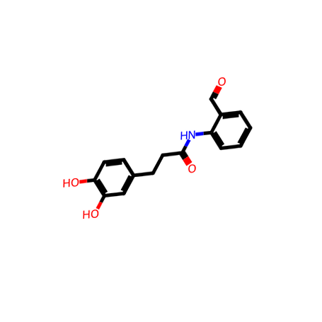 O=Cc1ccccc1NC(=O)CCc1ccc(O)c(O)c1